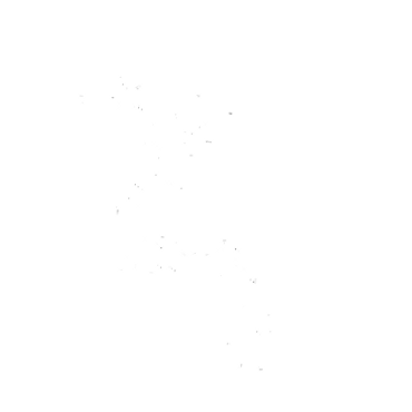 Cc1cn(-c2cc(C(=O)Nc3ccc(C)c(-n4cc(-c5cnc(NCCN6CCCC6)s5)nn4)c3)cc(C(F)(F)F)c2)cn1